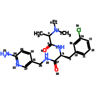 CCN(C)C(C)C(=O)N[C@@H](Cc1cccc(Cl)c1)C(=O)NCc1ccc(N)nc1